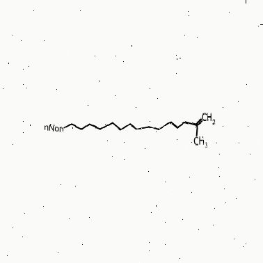 C=C(C)CCCCCCCCCCCCCCCCCCCCCC